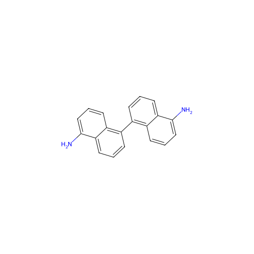 Nc1cccc2c(-c3cccc4c(N)cccc34)cccc12